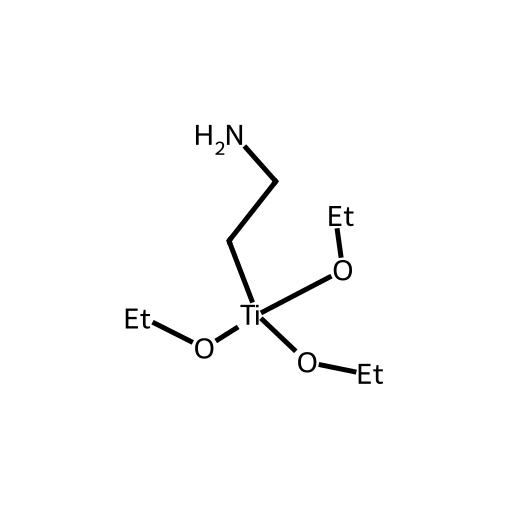 CC[O][Ti]([CH2]CN)([O]CC)[O]CC